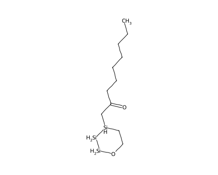 CCCCCCCC(=O)C[SiH]1CCO[SiH2][SiH2]1